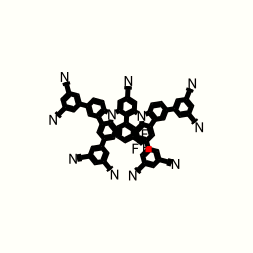 N#Cc1cc(C#N)cc(-c2ccc3c(c2)c2cc(-c4cc(C#N)cc(C#N)c4)ccc2n3-c2cc(C#N)cc(-n3c4ccc(-c5cc(C#N)cc(C#N)c5)cc4c4cc(-c5cc(C#N)cc(C#N)c5)ccc43)c2-c2cccc(C(F)(F)F)c2)c1